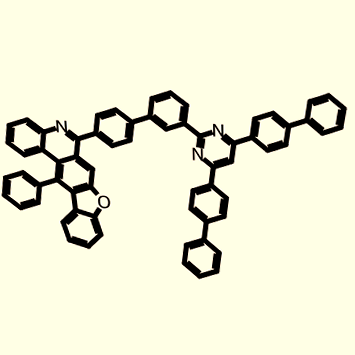 c1ccc(-c2ccc(-c3cc(-c4ccc(-c5ccccc5)cc4)nc(-c4cccc(-c5ccc(-c6nc7ccccc7c7c(-c8ccccc8)c8c(cc67)oc6ccccc68)cc5)c4)n3)cc2)cc1